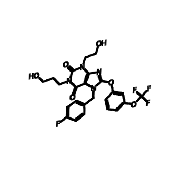 O=c1c2c(nc(Oc3cccc(OC(F)(F)F)c3)n2Cc2ccc(F)cc2)n(CCO)c(=O)n1CCCO